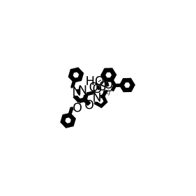 O=C(c1nn(Cc2ccccc2)cc(OCc2ccccc2)c1=O)N1CCCC1[C@@H](CC(c1ccccc1)c1ccccc1)S(=O)(=O)O